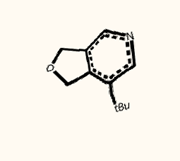 CC(C)(C)c1cncc2c1COC2